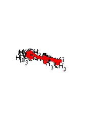 Cc1ncsc1-c1ccc([C@H](C)NC(=O)[C@@H]2C[C@@H](O)CN2C(=O)[C@@H](NC(=O)CCCCCCCC(=O)N2CC3CN(CC[C@H](CSc4ccccc4)Nc4ccc(S(=O)(=O)NC(=O)c5ccc(N6CCN(CC7=C(c8ccc(Cl)cc8)CCC(C)(C)C7)CC6)cc5)cc4S(=O)(=O)C(F)(F)F)C[C@@H]3C2)C(C)(C)C)cc1